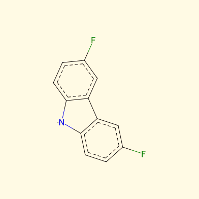 Fc1ccc2c(c1)-c1cc(F)ccc1[N]2